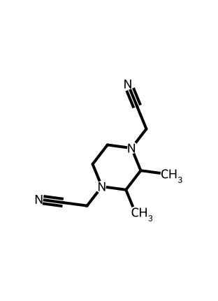 CC1C(C)N(CC#N)CCN1CC#N